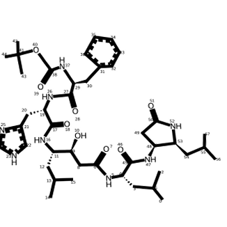 CC(C)C[C@H](NC(=O)C[C@H](O)[C@H](CC(C)C)NC(=O)[C@H](Cc1c[nH]cn1)NC(=O)[C@H](Cc1ccccc1)NC(=O)OC(C)(C)C)C(=O)N[C@H]1CC(=O)N[C@H]1CC(C)C